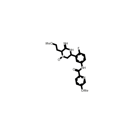 COCCC1C(=N)NC(c2cc(NC(=O)c3ccc(OC)cn3)ccc2F)C[S+]1[O-]